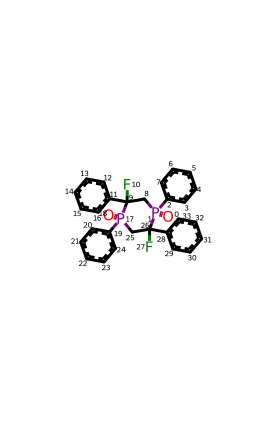 O=P1(c2ccccc2)CC(F)(c2ccccc2)P(=O)(c2ccccc2)CC1(F)c1ccccc1